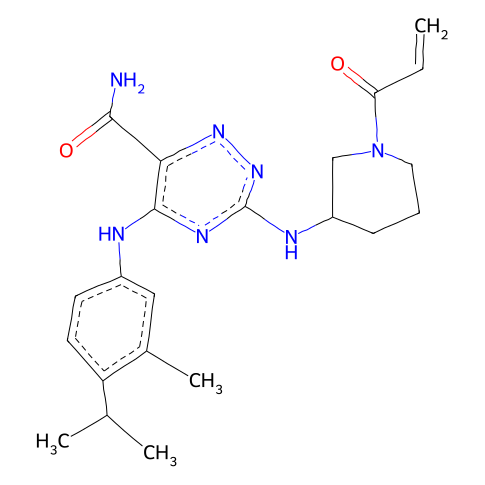 C=CC(=O)N1CCCC(Nc2nnc(C(N)=O)c(Nc3ccc(C(C)C)c(C)c3)n2)C1